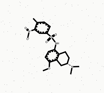 COc1ccc(NS(=O)(=O)c2ccc(C)c([N+](=O)[O-])c2)c2c1C[C@@H](N(C)C)CC2